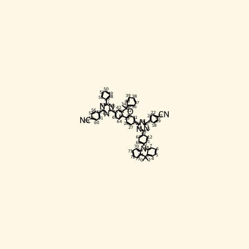 CC1(C)c2ccccc2N(c2ccc(-c3nc(-c4ccc(C#N)cc4)nc(-c4ccc5c(c4)OC(C)(c4ccccc4)c4cc(-c6nc(-c7ccccc7)nc(-c7ccc(C#N)cc7)n6)ccc4-5)n3)cc2)c2ccccc21